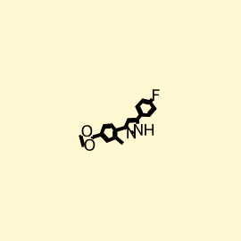 Cc1cc(C2OCCO2)ccc1-c1cc(-c2ccc(F)cc2)[nH]n1